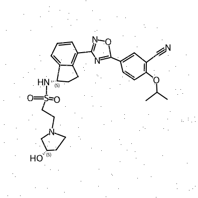 CC(C)Oc1ccc(-c2nc(-c3cccc4c3CC[C@@H]4NS(=O)(=O)CCN3CC[C@H](O)C3)no2)cc1C#N